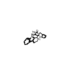 O=c1[nH]c(=O)n(Cc2ccccc2)c(O)c1C1NCCc2c1[nH]c1ccccc21